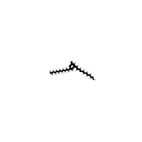 [CH2]c1cc(CCCCCCCCCCCC)cc(CCCCCCCCCCCC)c1